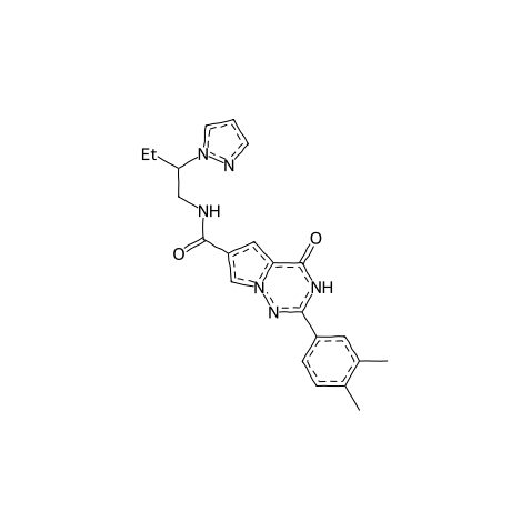 CCC(CNC(=O)c1cc2c(=O)[nH]c(-c3ccc(C)c(C)c3)nn2c1)n1cccn1